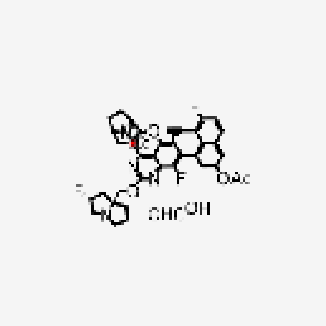 C#Cc1c(F)ccc2cc(OC(C)=O)cc(-c3c(F)c(OC)c4c(N5CC6CCC(C5)N6C(C)=O)nc(OC[C@@]56CCCN5C[C@H](F)C6)nc4c3F)c12.O=CO